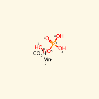 O=C(O)O.O=P(O)(O)O.[Mn]